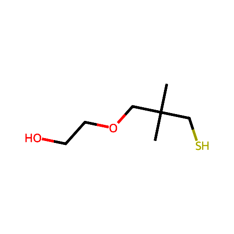 CC(C)(CS)COCCO